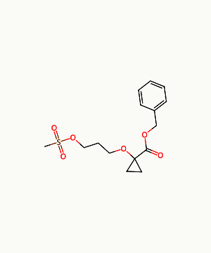 CS(=O)(=O)OCCCOC1(C(=O)OCc2ccccc2)CC1